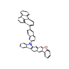 c1ccc2c(c1)-c1cccc3c(-c4ccc5cc(-n6c7ccccc7c7cc8cc9c(cc8cc76)oc6ccccc69)ccc5c4)ccc-2c13